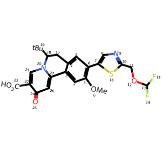 COc1cc2c(cc1-c1cnc(COC(F)F)s1)CC(C(C)(C)C)n1cc(C(=O)O)c(=O)cc1-2